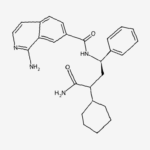 NC(=O)C(C[C@@H](NC(=O)c1ccc2ccnc(N)c2c1)c1ccccc1)C1CCCCC1